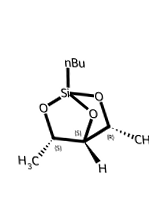 CCCC[Si]12O[C@@H]([C@H](C)O1)[C@@H](C)O2